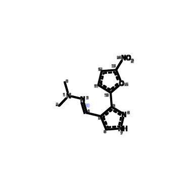 CN(C)/N=C/c1c[nH]nc1-c1ccc([N+](=O)[O-])o1